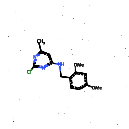 COc1ccc(CNc2cc(C)nc(Cl)n2)c(OC)c1